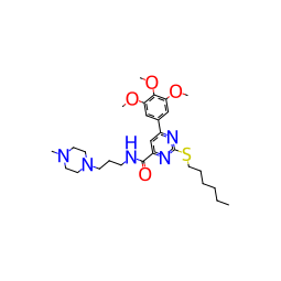 CCCCCCSc1nc(C(=O)NCCCN2CCN(C)CC2)cc(-c2cc(OC)c(OC)c(OC)c2)n1